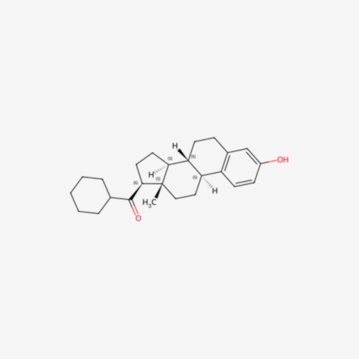 C[C@]12CC[C@@H]3c4ccc(O)cc4CC[C@H]3[C@@H]1CC[C@@H]2C(=O)C1CCCCC1